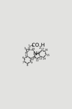 O=C(O)CC12C=C1c1ccccc1-c1cc3ccccc3n1C2